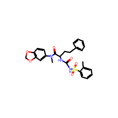 Cc1ccccc1S(=O)(=O)NC(=O)NC(CCc1ccccc1)C(=O)N(C)c1ccc2c(c1)OCO2